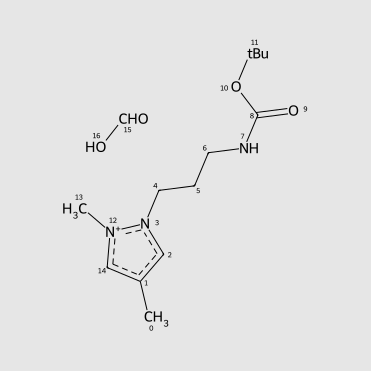 Cc1cn(CCCNC(=O)OC(C)(C)C)[n+](C)c1.O=CO